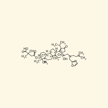 CC(C)C1=C2[C@H]3CC[C@@H]4[C@@]5(C)CC[C@@H](OC(=O)CC(C)(C)C(=O)O)C(C)(C)[C@@H]5CC[C@@]4(C)[C@]3(C)CC[C@@]2([C@@H](O)CN(CCN(C)C)Cc2ncco2)CC1=O